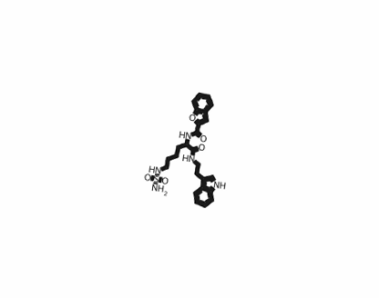 NS(=O)(=O)NCCCCC(NC(=O)c1cc2ccccc2o1)C(=O)NCCc1c[nH]c2ccccc12